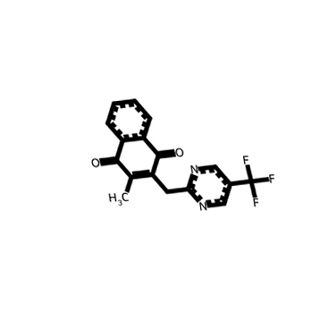 CC1=C(Cc2ncc(C(F)(F)F)cn2)C(=O)c2ccccc2C1=O